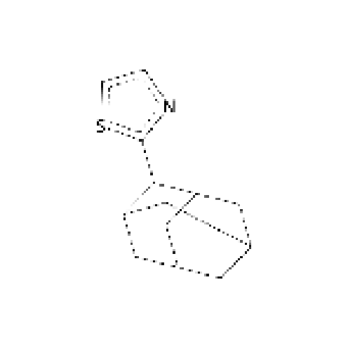 c1csc(C2C3CC4CC(C3)CC2C4)n1